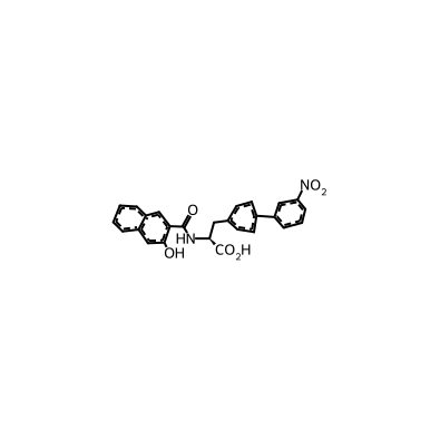 O=C(N[C@@H](Cc1ccc(-c2cccc([N+](=O)[O-])c2)cc1)C(=O)O)c1cc2ccccc2cc1O